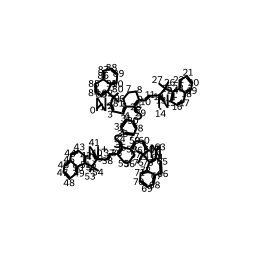 CN1C(=CC=C2CCCC(C=CC3=[N+](C)c4ccc5ccccc5c4C3(C)C)=C2Sc2ccc(SC3=C(C=CC4=[N+](C)c5ccc6ccccc6c5C4(C)C)CCCC3=CC=C3N(C)c4ccc5ccccc5c4C3(C)C)cc2)C(C)(C)c2c1ccc1ccccc21